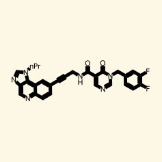 CCCn1cnc2cnc3ccc(C#CCNC(=O)c4cncn(Cc5ccc(F)c(F)c5)c4=O)cc3c21